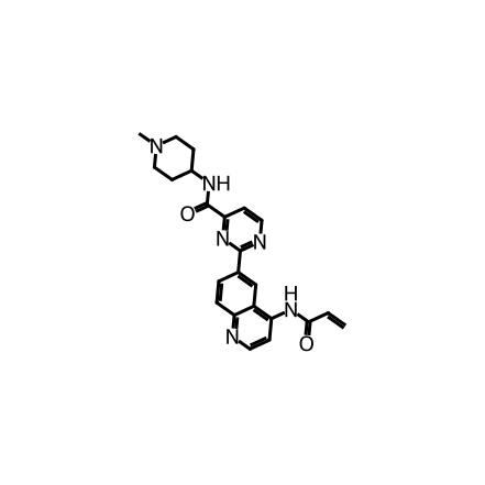 C=CC(=O)Nc1ccnc2ccc(-c3nccc(C(=O)NC4CCN(C)CC4)n3)cc12